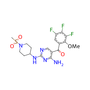 COc1c(C(=O)c2cnc(NC3CCN(S(C)(=O)=O)CC3)nc2N)cc(F)c(F)c1F